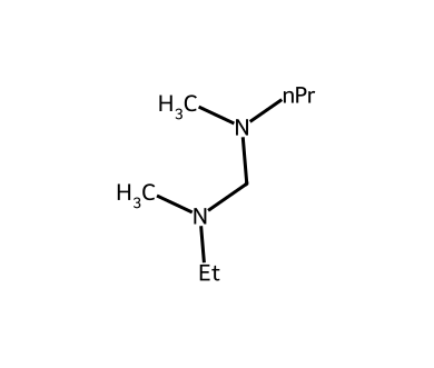 CCCN(C)CN(C)CC